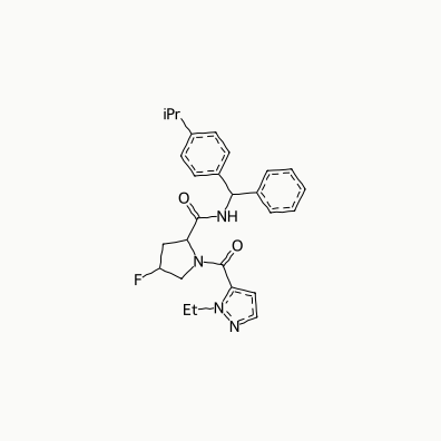 CCn1nccc1C(=O)N1CC(F)CC1C(=O)NC(c1ccccc1)c1ccc(C(C)C)cc1